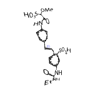 CCNC(=O)Nc1ccc(/C=C/c2ccc(NC(=O)C(OC)S(=O)(=O)O)cc2)c(S(=O)(=O)O)c1